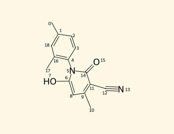 Cc1ccc(-n2c(O)cc(C)c(C#N)c2=O)c(C)c1